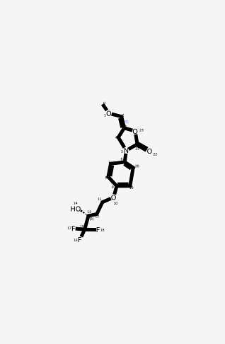 CO/C=C1\CN(c2ccc(OCC[C@@H](O)C(F)(F)F)cc2)C(=O)O1